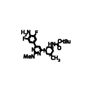 CNc1nc(-c2cc(F)c(N)c(F)c2)cc(N2C[C@H](C)C[C@@H](NC(=O)OC(C)(C)C)C2)n1